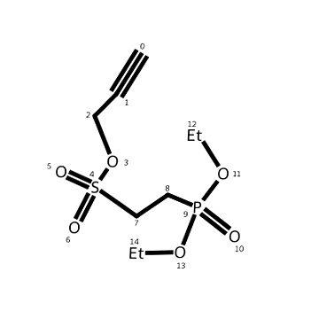 C#CCOS(=O)(=O)CCP(=O)(OCC)OCC